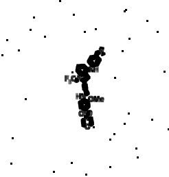 COc1cc(S(=O)(=O)N2CCOCC2)ccc1NCC#Cc1cc2c(Nc3ccc(CN(C)C)cc3)cccc2n1CC(F)(F)F